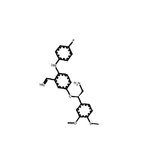 COc1cc([C@H](CN)Oc2ccc(Nc3ccc(F)cc3)c(C=N)c2)ccc1SC